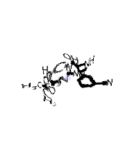 CN1C(=O)[C@@H]2CNC[C@]2(c2cccc(C#N)c2)N/C1=N/C(=O)OC(C)(C)C